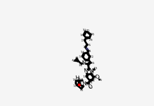 COc1cc(C(=O)N2C[C@H]3CC4CC2[C@@H]43)cc2nc(-c3cc4cc(/C=C/CCc5ccccc5)ccc4n3CC3CC3)n(C)c12